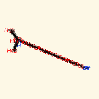 [N-]=[N+]=NCCOCCOCCOCCOCCOCCOCCOCCOCCOCCOCCOCCOCCOCCOCCOCCOCCOCCOCCOCCOCCOCCOCCOCCNC(=O)C(CCCCCCCCCCC(=O)O)(CCCCCCCCCCC(=O)O)C(=O)O